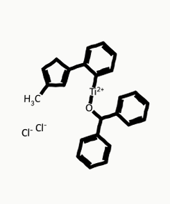 CC1=CCC(c2cccc[c]2[Ti+2][O]C(c2ccccc2)c2ccccc2)=C1.[Cl-].[Cl-]